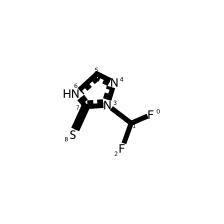 FC(F)n1nc[nH]c1=S